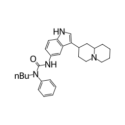 CCCCN(C(=O)Nc1ccc2[nH]cc(C3CCN4CCCCC4C3)c2c1)c1ccccc1